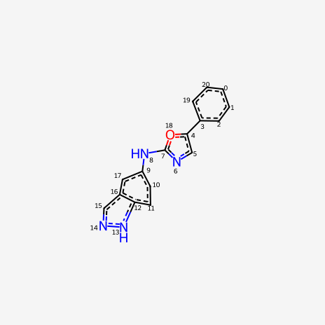 c1ccc(-c2cnc(Nc3ccc4[nH]ncc4c3)o2)cc1